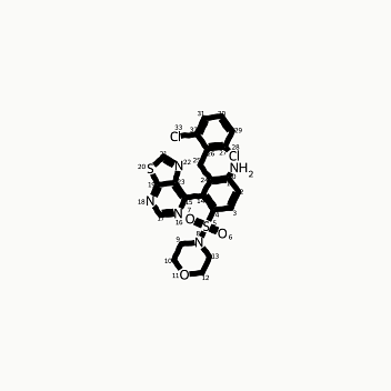 Nc1ccc(S(=O)(=O)N2CCOCC2)c(-c2ncnc3scnc23)c1Cc1c(Cl)cccc1Cl